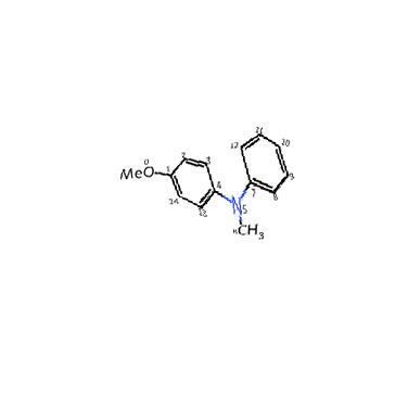 COc1ccc(N(C)c2ccccc2)cc1